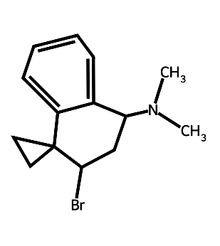 CN(C)C1CC(Br)C2(CC2)c2ccccc21